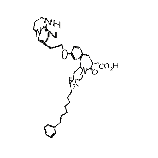 O=C(O)C[C@@H]1Cc2ccc(OCCc3cn4c(n3)NCCC4)cc2C(CCCCCCCCCCc2ccccc2)N(CC(F)(F)F)C1=O